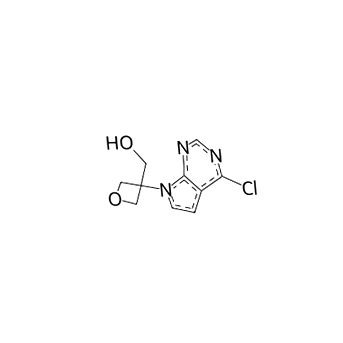 OCC1(n2ccc3c(Cl)ncnc32)COC1